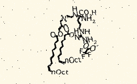 CCCCCCCC/C=C\CCCCCCCC(=O)OCC(C[N+](C)(C)CCN[C@](N)(CCCNC(=N)N)C(=O)O)OC(=O)CCCCCCC/C=C\CCCCCCCC.O=C([O-])C(F)(F)F